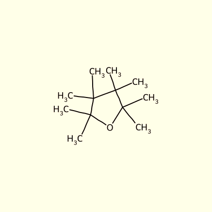 CC1(C)OC(C)(C)C(C)(C)C1(C)C